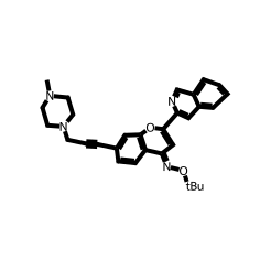 CN1CCN(CC#Cc2ccc3c(=NOC(C)(C)C)cc(-c4cc5ccccc5cn4)oc3c2)CC1